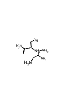 CC(N)C(N)CO.NCC(N)CN